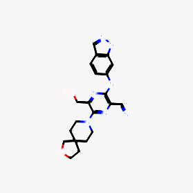 N=Cc1nc(N2CCC3(CCOC3)CC2)c(CO)nc1Nc1ccc2cn[nH]c2c1